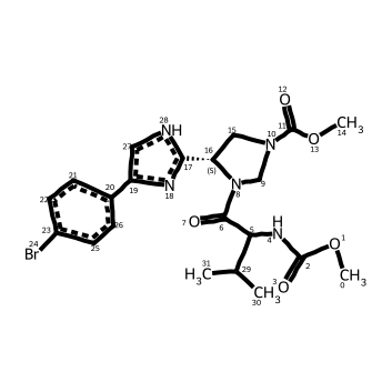 COC(=O)NC(C(=O)N1CN(C(=O)OC)C[C@H]1c1nc(-c2ccc(Br)cc2)c[nH]1)C(C)C